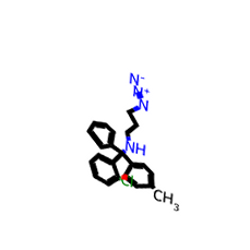 Cc1ccc(C(NCCCN=[N+]=[N-])(c2ccccc2)c2ccccc2Cl)cc1